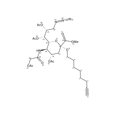 C#CCCCCCCO[C@]1(C(=O)OC)C[C@H](OC(C)=O)[C@@H](NC(=O)COC(C)=O)[C@H]([C@H](OC(C)=O)[C@@H](CN=[N+]=[N-])OC(C)=O)O1